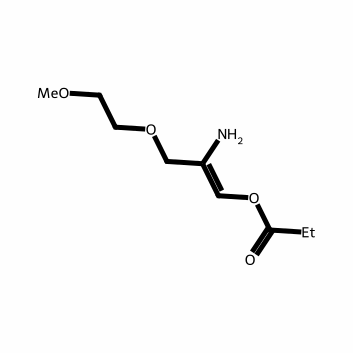 CCC(=O)O/C=C(\N)COCCOC